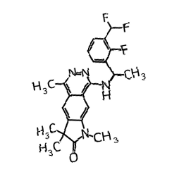 Cc1nnc(NC(C)c2cccc(C(F)F)c2F)c2cc3c(cc12)C(C)(C)C(=O)N3C